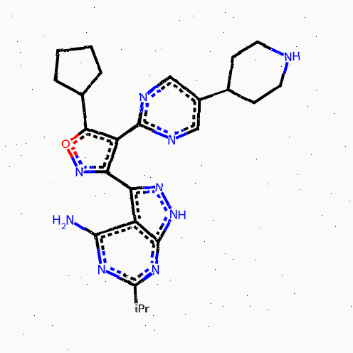 CC(C)c1nc(N)c2c(-c3noc(C4CCCC4)c3-c3ncc(C4CCNCC4)cn3)n[nH]c2n1